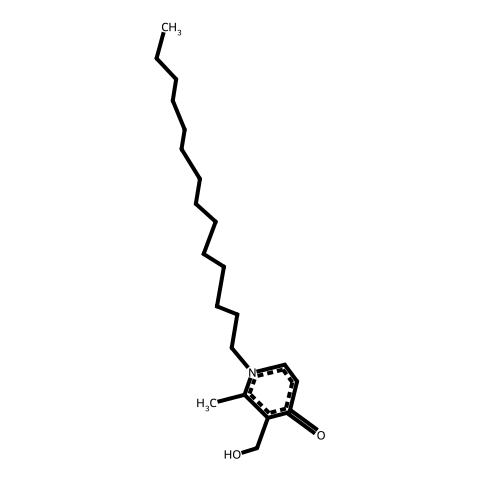 CCCCCCCCCCCCCCn1ccc(=O)c(CO)c1C